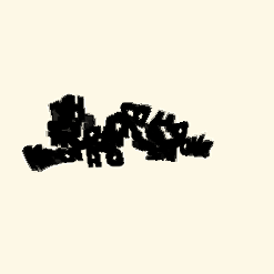 CON=C(C(=O)NC1C(=O)N2CC(CSc3nc(C(=O)OC)ns3)(C(=O)O)CS[C@H]12)c1nsc(N)n1